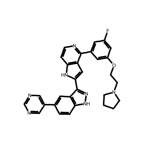 Fc1cc(OCCN2CCCC2)cc(-c2nccc3[nH]c(-c4n[nH]c5ccc(-c6cncnc6)cc45)cc23)c1